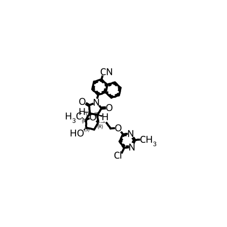 Cc1nc(Cl)cc(OCC[C@]23C[C@H](O)[C@](C)(O2)[C@H]2C(=O)N(c4ccc(C#N)c5ccccc45)C(=O)[C@@H]23)n1